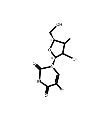 O=c1[nH]c(=O)n([C@H]2O[C@@H](CO)C(I)C2O)cc1F